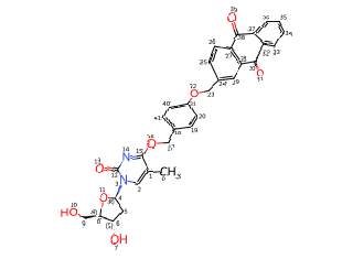 Cc1cn([C@H]2C[C@H](O)[C@@H](CO)O2)c(=O)nc1OCc1ccc(OCc2ccc3c(c2)C(=O)c2ccccc2C3=O)cc1